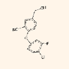 N#Cc1cc(CO)ccc1Oc1ccc(Cl)c(F)c1